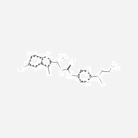 Cc1c([C@@H](NC(=O)Nc2cnc(N(C)CCN)nc2)C(C)C)oc2ccc(F)cc12